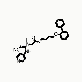 N#C/N=C(/NCC(=O)NCCCCOc1ccccc1-c1ccccc1)Nc1ccncc1